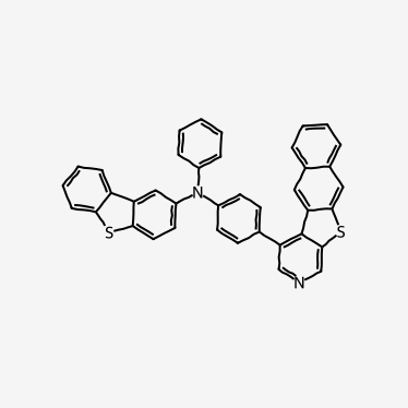 c1ccc(N(c2ccc(-c3cncc4sc5cc6ccccc6cc5c34)cc2)c2ccc3sc4ccccc4c3c2)cc1